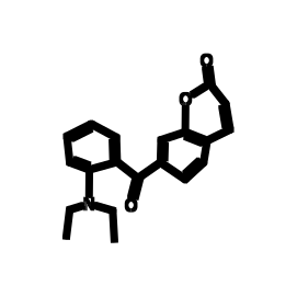 CCN(CC)c1ccccc1C(=O)c1ccc2ccc(=O)oc2c1